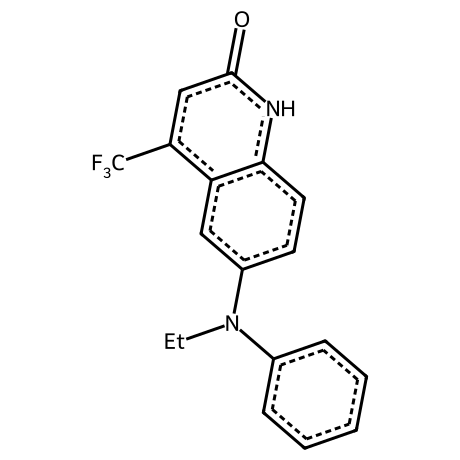 CCN(c1ccccc1)c1ccc2[nH]c(=O)cc(C(F)(F)F)c2c1